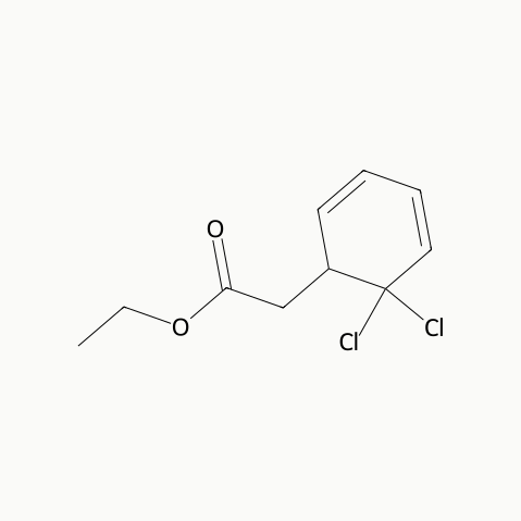 CCOC(=O)CC1C=CC=CC1(Cl)Cl